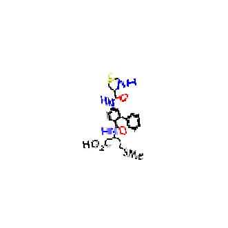 CSCCC(NC(=O)c1ccc(NC(=O)C2CSCN2)cc1-c1ccccc1)C(=O)O